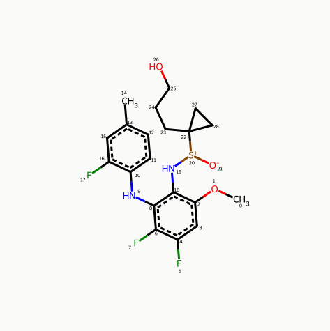 COc1cc(F)c(F)c(Nc2ccc(C)cc2F)c1N[S+]([O-])C1(CCCO)CC1